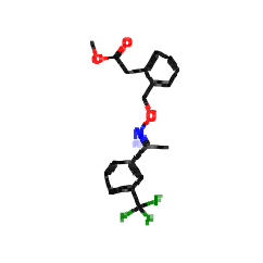 COC(=O)Cc1ccccc1CO/N=C(\C)c1cccc(C(F)(F)F)c1